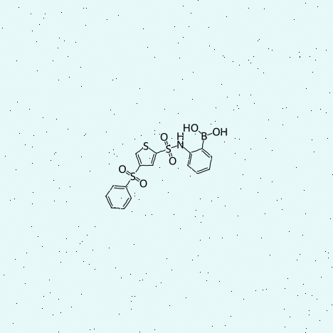 O=S(=O)(Nc1ccccc1B(O)O)c1cc(S(=O)(=O)c2ccccc2)cs1